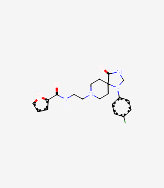 Cl.O=C(NCCN1CCC2(CC1)C(=O)NCN2c1ccc(F)cc1)c1ccco1